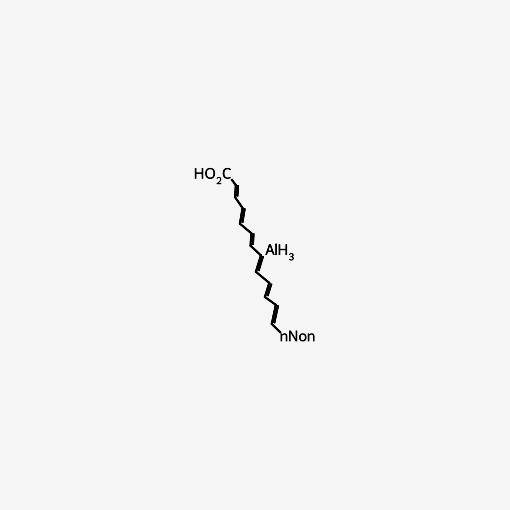 CCCCCCCCCC=CC=CC=CC=CC=CC=CC(=O)O.[AlH3]